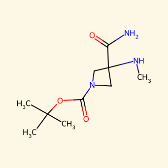 CNC1(C(N)=O)CN(C(=O)OC(C)(C)C)C1